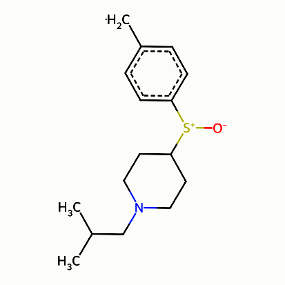 [CH2]c1ccc([S+]([O-])C2CCN(CC(C)C)CC2)cc1